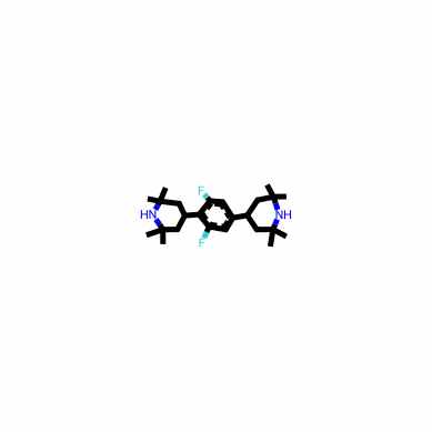 CC1(C)CC(c2cc(F)c(C3CC(C)(C)NC(C)(C)C3)c(F)c2)CC(C)(C)N1